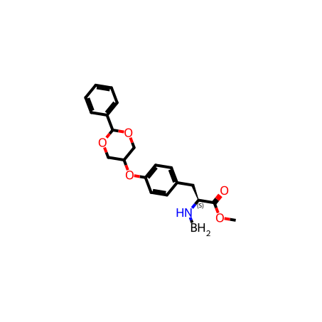 BN[C@@H](Cc1ccc(OC2COC(c3ccccc3)OC2)cc1)C(=O)OC